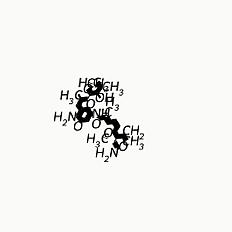 C=C(C)[C@H](CC(N)=O)[C@H](/C=C\C=C(/C)C(=O)NC1=CC(=O)C(N)=C(C[C@@H](C)C[C@H](OC)[C@H](O)C(C)C)C1=O)OC